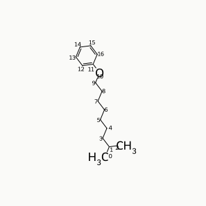 CC(C)CCCCCCCOc1ccccc1